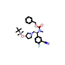 CN(C(=O)OCc1ccccc1)[C@H](CN1CC[C@H](O[Si](C)(C)C(C)(C)C)C1)c1ccc(F)c(C#N)c1